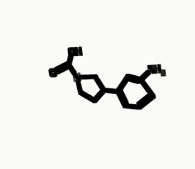 Nc1cccc(C2CCN(C(=O)O)C2)c1